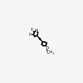 CCOc1ccc(C#Cc2cnc(F)c(F)c2)cc1